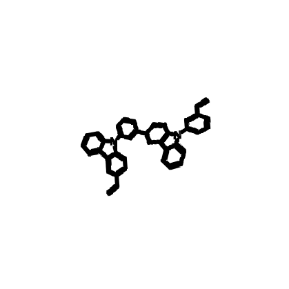 C=Cc1cccc(-n2c3c(c4ccccc42)CC(c2cccc(-n4c5ccccc5c5cc(C=C)ccc54)c2)C=C3)c1